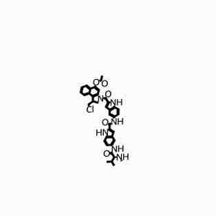 CN[C@H](C(=O)Nc1ccc2[nH]c(C(=O)Nc3ccc4[nH]c(C(=O)N5CC(CCl)c6c5cc(OC(C)=O)c5ccccc65)cc4c3)cc2c1)C(C)C